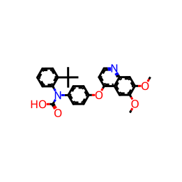 COc1cc2nccc(Oc3ccc(N(C(=O)O)c4ccccc4C(C)(C)C)cc3)c2cc1OC